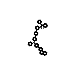 c1ccc(-c2c(-c3cccc(-c4ccc(-c5ccc(N(c6ccccc6)c6ccc(-c7ccc8c(ccc9ccccc98)c7)cc6)cc5)cc4)c3)oc3ccccc23)cc1